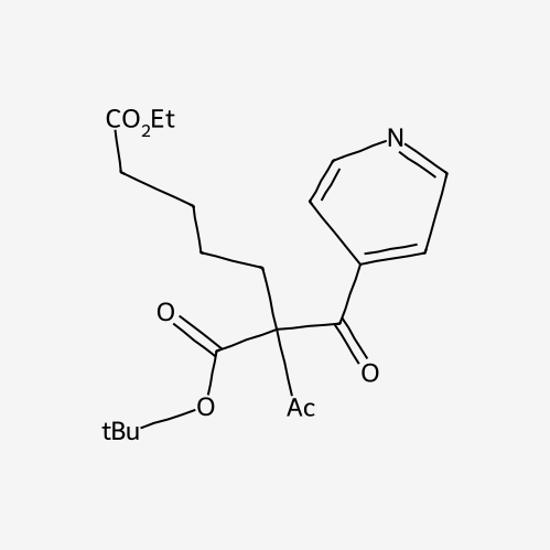 CCOC(=O)CCCCC(C(C)=O)(C(=O)OC(C)(C)C)C(=O)c1ccncc1